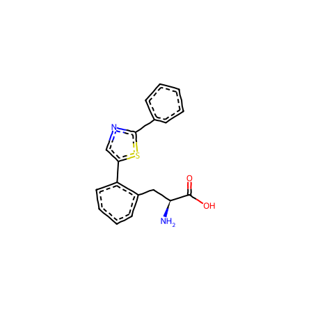 N[C@@H](Cc1ccccc1-c1cnc(-c2ccccc2)s1)C(=O)O